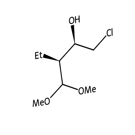 CC[C@H](C(OC)OC)[C@@H](O)CCl